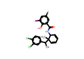 CC1(C(C#N)c2ccc(Cl)c(Cl)c2)C=CC=CC1NC(=O)c1cc(I)cc(I)c1O